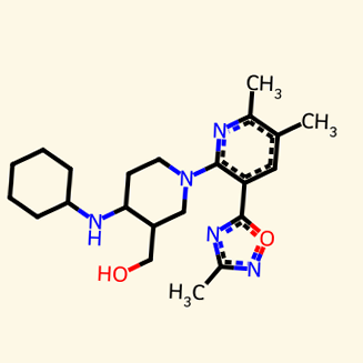 Cc1noc(-c2cc(C)c(C)nc2N2CCC(NC3CCCCC3)C(CO)C2)n1